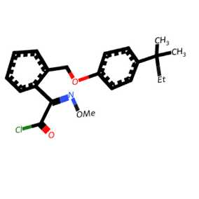 CCC(C)(C)c1ccc(OCc2ccccc2C(=NOC)C(=O)Cl)cc1